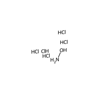 Cl.Cl.Cl.Cl.Cl.NO